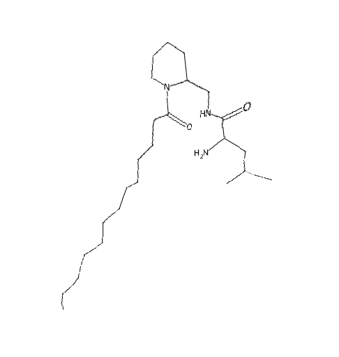 CCCCCCCCCCCCC(=O)N1CCCCC1CNC(=O)C(N)CC(C)C